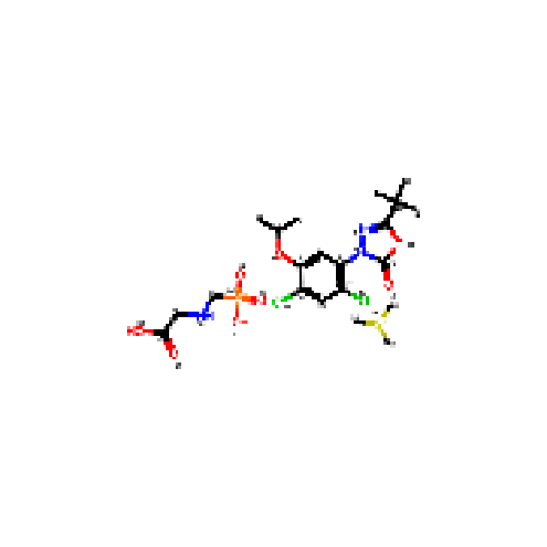 CC(C)Oc1cc(-n2nc(C(C)(C)C)oc2=O)c(Cl)cc1Cl.C[S+](C)C.O=C(O)CNCP(=O)([O-])O